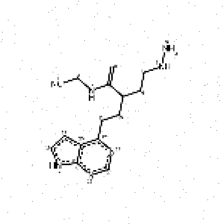 C=C(NCC#N)C(CCNN)CCc1ncnc2[nH]ccc12